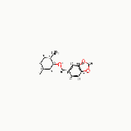 CC1CCC(C(C)C)C(OCc2ccc3c(c2)OCO3)C1